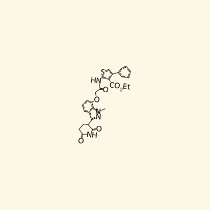 CCOC(=O)c1c(-c2ccccc2)csc1NC(=O)COc1cccc2c(C3CCC(=O)NC3=O)nn(C)c12